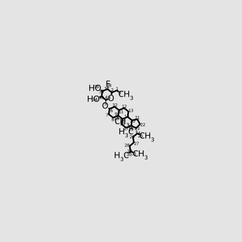 CCC1O[C@H](O[C@H]2CC[C@@]3(C)C(CCC4C3CC[C@@]3(C)C4CC[C@@H]3C(C)CCCC(C)C)C2)C(O)C(O)[C@@H]1F